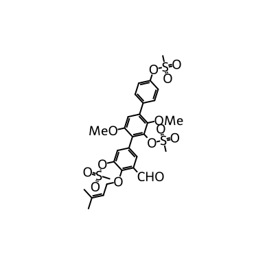 COc1cc(-c2ccc(OS(C)(=O)=O)cc2)c(OC)c(OS(C)(=O)=O)c1-c1cc(C=O)c(OCC=C(C)C)c(OS(C)(=O)=O)c1